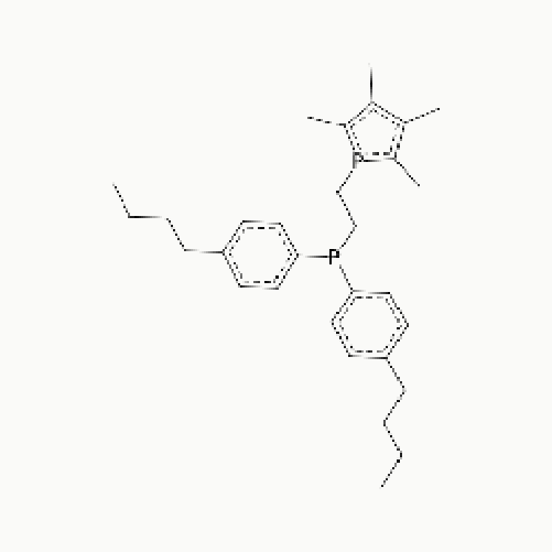 CCCCc1ccc(P(CCp2c(C)c(C)c(C)c2C)c2ccc(CCCC)cc2)cc1